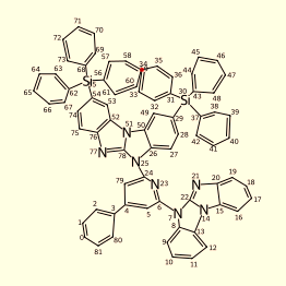 c1ccc(-c2cc(-n3c4ccccc4n4c5ccccc5nc34)nc(-n3c4ccc([Si](c5ccccc5)(c5ccccc5)c5ccccc5)cc4n4c5cc([Si](c6ccccc6)(c6ccccc6)c6ccccc6)ccc5nc34)c2)cc1